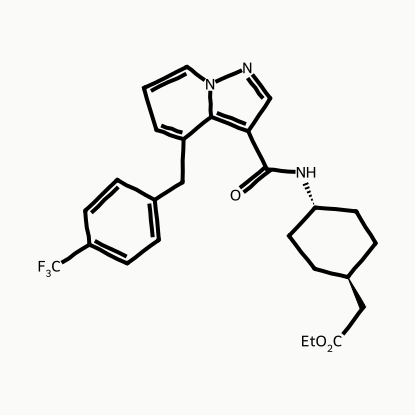 CCOC(=O)C[C@H]1CC[C@H](NC(=O)c2cnn3cccc(Cc4ccc(C(F)(F)F)cc4)c23)CC1